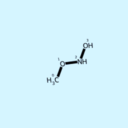 CONO